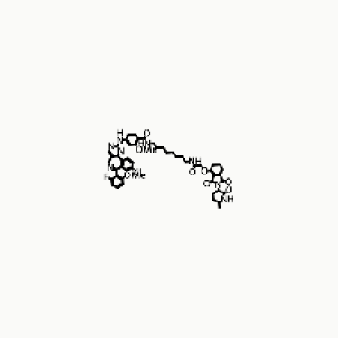 C=C1CCC(N2C(=O)c3cccc(OCC(=O)NCCCCCCCCNC(=O)c4ccc(Nc5ncc6c(n5)-c5ccc(Cl)cc5C(c5c(F)cccc5OC)=NC6)cc4OC)c3C2=O)C(=O)N1